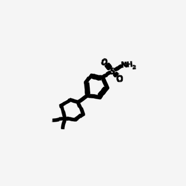 CC1(C)CCC(c2ccc(S(N)(=O)=O)cc2)CC1